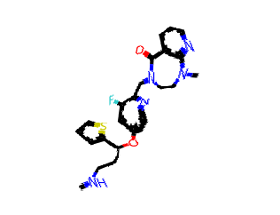 CNCC[C@H](Oc1cnc(CN2CCN(C)c3ncccc3C2=O)c(F)c1)c1cccs1